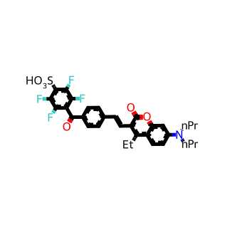 CCCN(CCC)c1ccc2c(CC)c(/C=C/c3ccc(C(=O)c4c(F)c(F)c(S(=O)(=O)O)c(F)c4F)cc3)c(=O)oc2c1